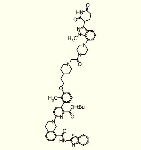 Cc1c(OCCC2CCN(CC(=O)N3CCN(c4cccc5c(C6CCC(=O)NC6=O)nn(C)c45)CC3)CC2)cccc1-c1ccc(N2CCc3cccc(C(=O)Nc4nc5ccccc5s4)c3C2)nc1C(=O)OC(C)(C)C